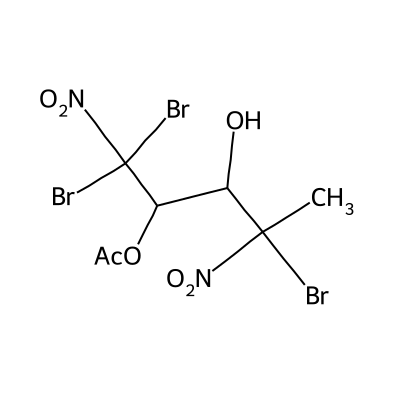 CC(=O)OC(C(O)C(C)(Br)[N+](=O)[O-])C(Br)(Br)[N+](=O)[O-]